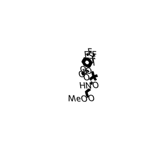 COC(=O)CCNC(=O)[C@@H]1OP(=O)(Oc2ccc([SH](F)(F)(F)F)cc2)OCC1(C)C